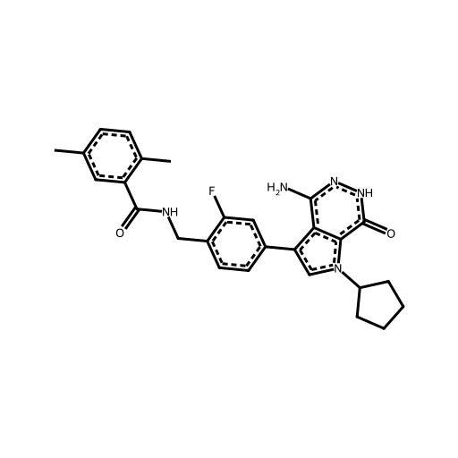 Cc1ccc(C)c(C(=O)NCc2ccc(-c3cn(C4CCCC4)c4c(=O)[nH]nc(N)c34)cc2F)c1